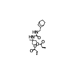 C=CC(=O)OCC(C)(COC(=O)C=C)NC(=O)NCC1CC2CCC1C2